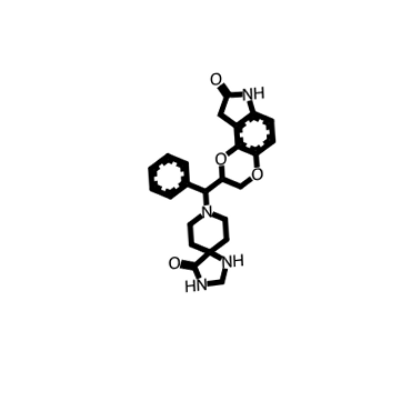 O=C1Cc2c(ccc3c2OC(C(c2ccccc2)N2CCC4(CC2)NCNC4=O)CO3)N1